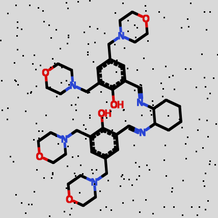 Oc1c(/C=N/C2CCCCC2/N=C/c2cc(CN3CCOCC3)cc(CN3CCOCC3)c2O)cc(CN2CCOCC2)cc1CN1CCOCC1